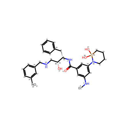 CCNc1cc(C(=O)N[C@@H](Cc2ccccc2)[C@H](O)CNCc2cccc([N+](=O)[O-])c2)cc(N2CCCCS2(O)O)c1